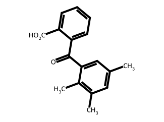 Cc1cc(C)c(C)c(C(=O)c2ccccc2C(=O)O)c1